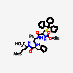 CSCC[C@H](NC(=O)[C@H](Cc1ccccc1)NC[C@@H](NC(=O)[C@H](CSC(c1ccccc1)(c1ccccc1)c1ccccc1)NC(=O)OC(C)(C)C)C(C)C)C(=O)O